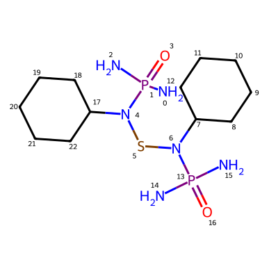 NP(N)(=O)N(SN(C1CCCCC1)P(N)(N)=O)C1CCCCC1